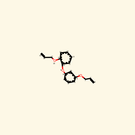 C=CCOc1cccc(Oc2ccccc2OCC=C)c1